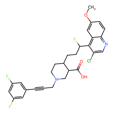 COc1ccc2ncc(Cl)c(C(F)CCC3CCN(CC#Cc4cc(F)cc(F)c4)CC3C(=O)O)c2c1